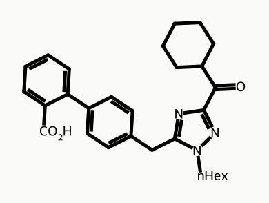 CCCCCCn1nc(C(=O)C2CCCCC2)nc1Cc1ccc(-c2ccccc2C(=O)O)cc1